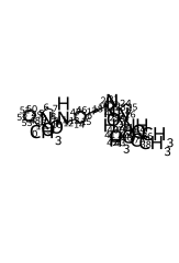 C[C@@H](C(=O)N1CCC[C@H]1C(=O)NCc1ccc(C#Cc2cnc([C@@H]3CCCN3C(=O)[C@H](NC(=O)OC(C)(C)C)c3ccccc3)[nH]2)cc1)c1ccccc1